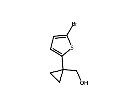 OCC1(c2ccc(Br)s2)CC1